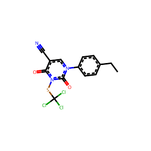 CCc1ccc(-n2cc(C#N)c(=O)n(SC(Cl)(Cl)Cl)c2=O)cc1